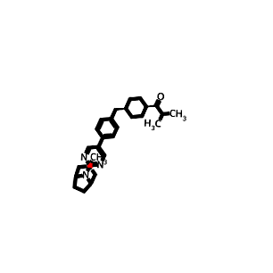 CC(C)C(=O)[C@H]1CC[C@@H](Cc2ccc(-c3cnc(N4C5CCC4CN(C)C5)nc3)cc2)CC1